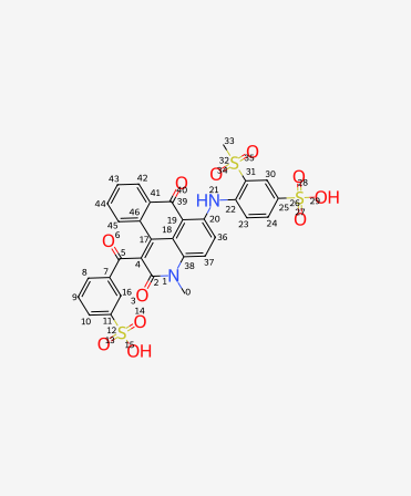 Cn1c(=O)c(C(=O)c2cccc(S(=O)(=O)O)c2)c2c3c(c(Nc4ccc(S(=O)(=O)O)cc4S(C)(=O)=O)ccc31)C(=O)c1ccccc1-2